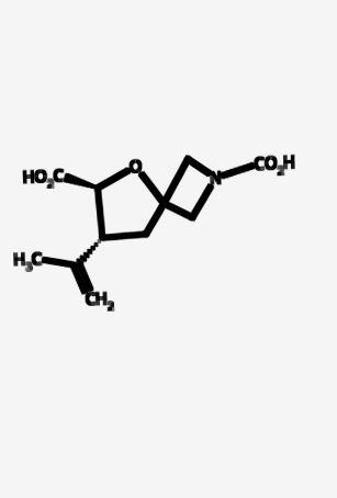 C=C(C)[C@H]1CC2(CN(C(=O)O)C2)O[C@@H]1C(=O)O